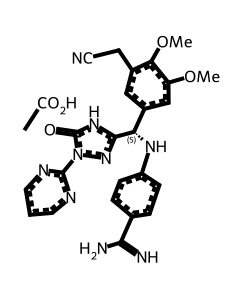 CC(=O)O.COc1cc([C@H](Nc2ccc(C(=N)N)cc2)c2nn(-c3ncccn3)c(=O)[nH]2)cc(CC#N)c1OC